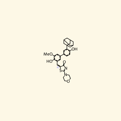 COc1cc(-c2ccc(O)c(C34CC5CC(CC(C5)C3)C4)c2)cc(/C=C2/SC(N3CCOCC3)=NC2=O)c1O